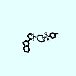 Cc1ccc(S(=O)(=O)N2CCCN(c3nccc(-c4ccc5ccccc5c4)n3)CC2)cc1